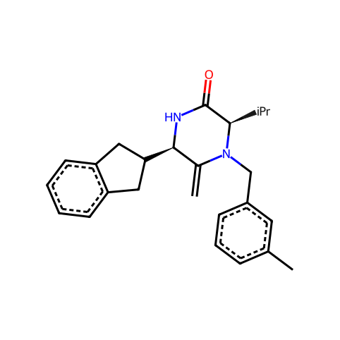 C=C1[C@@H](C2Cc3ccccc3C2)NC(=O)[C@@H](C(C)C)N1Cc1cccc(C)c1